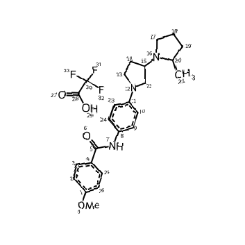 COc1ccc(C(=O)Nc2ccc(N3CCC(N4CCCC4C)C3)cc2)cc1.O=C(O)C(F)(F)F